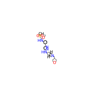 CS(=O)(=O)CC(=O)Nc1cccc(-c2ccc(NC3C[C@@H]4CN(CC5CCOCC5)C[C@@H]4C3)nn2)c1